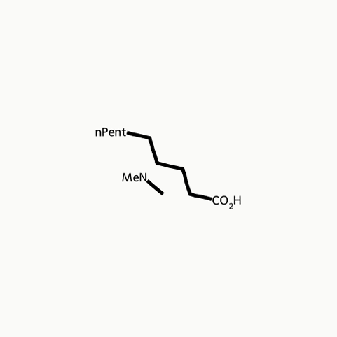 CCCCCCCCCC(=O)O.CNC